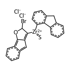 [Cl-].[Cl-].[S]=[Zr+2]([C]1=C2C=c3ccccc3=C2OC1Br)[c]1cccc2c1-c1ccccc1C2